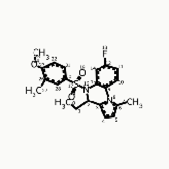 CCC1c2ccc(C)n2-c2ccc(F)cc2N1S(=O)(=O)c1ccc(OC)c(C)c1